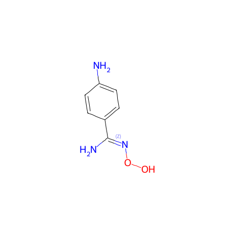 N/C(=N\OO)c1ccc(N)cc1